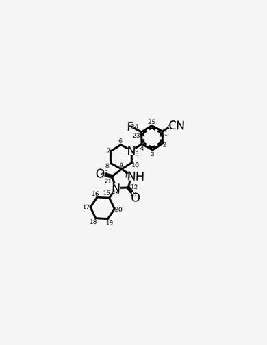 N#Cc1ccc(N2CCCC3(C2)NC(=O)N(C2CCCCC2)C3=O)c(F)c1